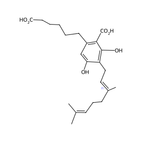 CC(C)=CCC/C(C)=C/Cc1c(O)cc(CCCCCC(=O)O)c(C(=O)O)c1O